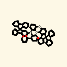 c1ccc(-c2ccccc2N(c2ccc3c(c2)C2(c4ccccc4-c4ccccc42)c2ccccc2-3)c2cccc3c2Oc2c(ccc4c2-c2ccccc2C42c4ccccc4-c4ccccc42)O3)cc1